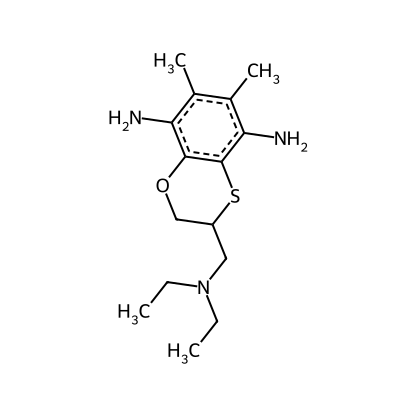 CCN(CC)CC1COc2c(N)c(C)c(C)c(N)c2S1